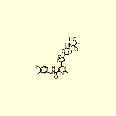 Cc1nc(C(=O)NCc2ccc(F)c(C)c2)cc(C2=NOC([C@@H]3CO[C@@H](NC(=O)[C@H](C)O)CO3)C2)n1